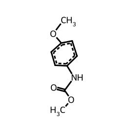 COC(=O)Nc1ccc(OC)cc1